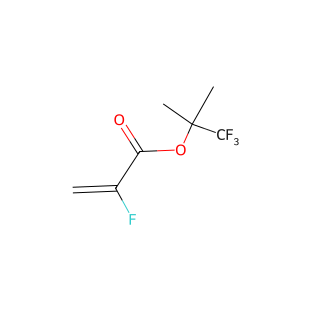 C=C(F)C(=O)OC(C)(C)C(F)(F)F